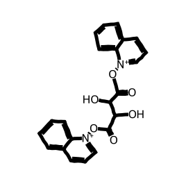 O=C(O[n+]1cccc2ccccc21)C(O)C(O)C(=O)O[n+]1cccc2ccccc21